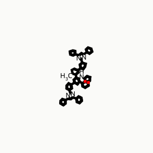 CC1CC=C(c2cccc(-c3nc(-c4ccccc4)cc(-c4ccccc4)n3)c2)C=C1c1cc(-c2cccc(-c3nc(-c4ccccc4)cc(-c4ccccc4)n3)c2)cc(-c2ccccc2)c1Nc1ccccc1